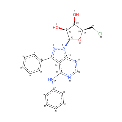 O[C@@H]1[C@H](O)[C@H](n2nc(-c3ccccc3)c3c(Nc4ccccc4)ncnc32)O[C@@H]1CCl